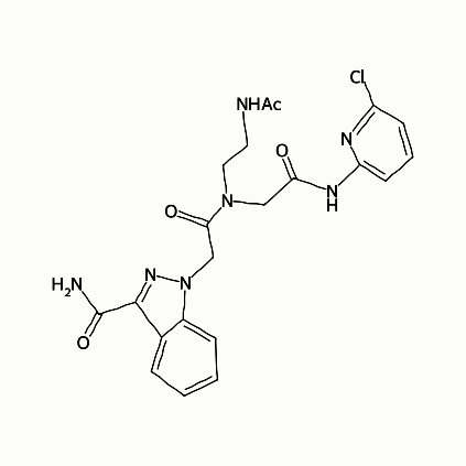 CC(=O)NCCN(CC(=O)Nc1cccc(Cl)n1)C(=O)Cn1nc(C(N)=O)c2ccccc21